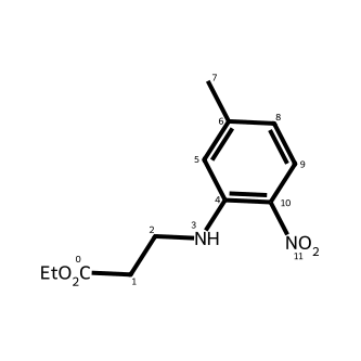 CCOC(=O)CCNc1cc(C)ccc1[N+](=O)[O-]